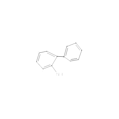 Nc1ccccc1-c1[c]cccc1